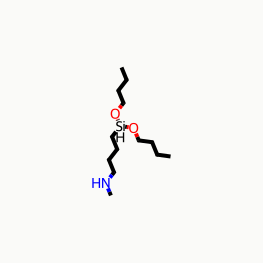 CCCCO[SiH](CCCCNC)OCCCC